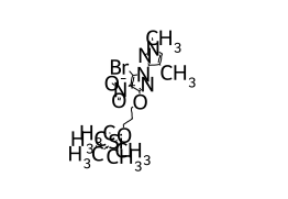 Cc1cn(C)nc1-n1nc(OCCCO[Si](C)(C)C(C)(C)C)c([N+](=O)[O-])c1Br